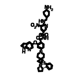 CCc1ccccc1[C@@H]1CCCN1C1CC2(CCN(c3ccc(C(=O)NS(=O)(=O)c4cnc(NCC5CCC(N)CC5)c([N+](=O)[O-])c4)c(Oc4cnc5[nH]ccc5c4)c3)CC2)C1